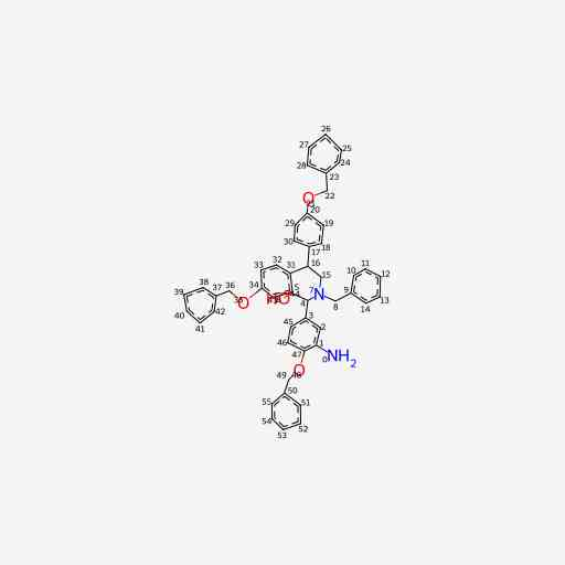 Nc1cc(C(CO)N(Cc2ccccc2)CC(c2ccc(OCc3ccccc3)cc2)c2ccc(OCc3ccccc3)cc2)ccc1OCc1ccccc1